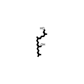 CC(C)=CCCC(=CCCC(C)=CCCC(C)=CCO)CO